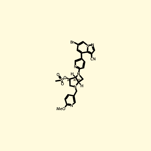 COc1ccc(CN2C[C@@H](OS(C)(=O)=O)[C@H]3[C@@H]2CN3c2ccc(-c3cc(Br)cn4ncc(C#N)c34)cn2)cn1